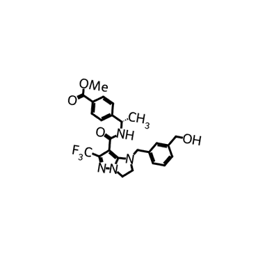 COC(=O)c1ccc([C@H](C)NC(=O)c2c(C(F)(F)F)nn3c2N(Cc2cccc(CO)c2)CC3)cc1